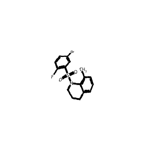 Cc1cccc2c1N(S(=O)(=O)c1cc(Br)ccc1F)CCC2